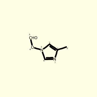 Cc1cn(OC=O)cn1